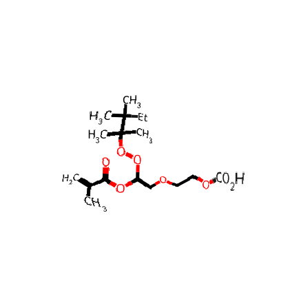 C=C(C)C(=O)OC(COCCOC(=O)O)OOC(C)(C)C(C)(C)CC